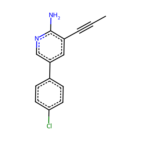 CC#Cc1cc(-c2ccc(Cl)cc2)cnc1N